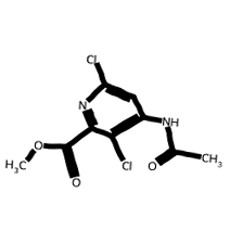 COC(=O)c1nc(Cl)cc(NC(C)=O)c1Cl